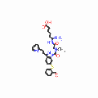 CN(CC(=O)NC(N)CCCCC(=O)O)C(=O)n1nc(/C=C/c2ccccn2)c2ccc(Sc3ccccc3C=O)cc21